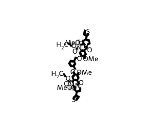 C=CCOC(=O)N1c2cc(OCc3cccc(COc4cc5c(cc4OC)C(=O)N4CC=C(c6ccsc6)C[C@H]4C(OC)N5C(=O)OCC=C)c3)c(OC)cc2C(=O)N2CC=C(c3ccsc3)C[C@H]2C1OC